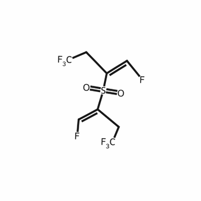 O=S(=O)(C(=CF)CC(F)(F)F)C(=CF)CC(F)(F)F